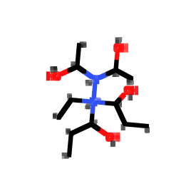 CCC(O)[N+](CC)(C(O)CC)N(C(C)O)C(C)O